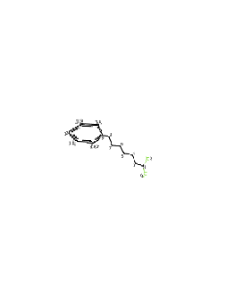 FC(F)CCCCCCc1ccccc1